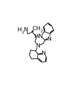 C=C(CN)CCN(Cc1nc2ccccc2[nH]1)C1CCCc2cccnc21